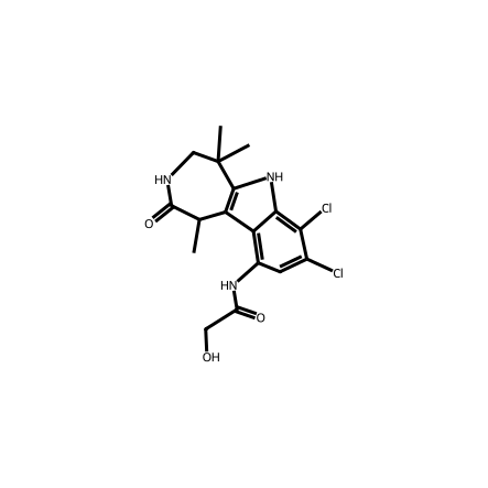 CC1C(=O)NCC(C)(C)c2[nH]c3c(Cl)c(Cl)cc(NC(=O)CO)c3c21